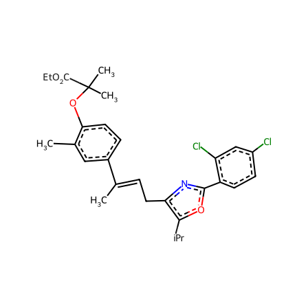 CCOC(=O)C(C)(C)Oc1ccc(C(C)=CCc2nc(-c3ccc(Cl)cc3Cl)oc2C(C)C)cc1C